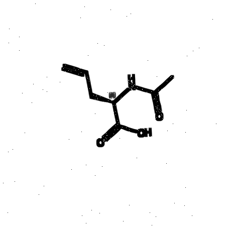 C=CC[C@@H](NC(C)=O)C(=O)O